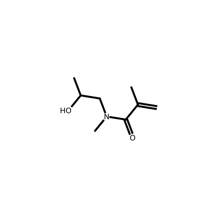 C=C(C)C(=O)N(C)CC(C)O